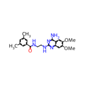 COc1cc2nc(NCCNC(=O)c3cc(C)cc(C)c3)nc(N)c2cc1OC